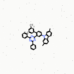 Cc1ccc2c3ccc(C)cc3n(-c3ccc(-c4cc(C(F)(F)F)cc(C(F)(F)F)c4)c(-c4nc(-c5ccccc5)nc(-c5ccccc5)n4)c3)c2c1